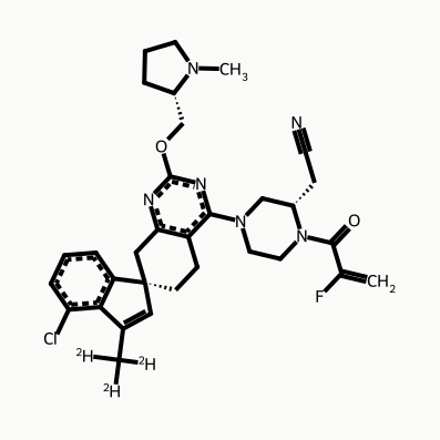 [2H]C([2H])([2H])C1=C[C@@]2(CCc3c(nc(OC[C@@H]4CCCN4C)nc3N3CCN(C(=O)C(=C)F)[C@@H](CC#N)C3)C2)c2cccc(Cl)c21